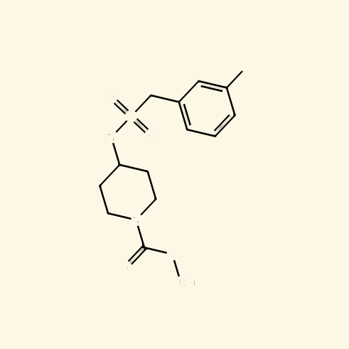 CC(C)(C)OC(=O)N1CCC(NS(=O)(=O)Cc2cccc(F)c2)CC1